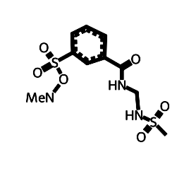 CNOS(=O)(=O)c1cccc(C(=O)NCNS(C)(=O)=O)c1